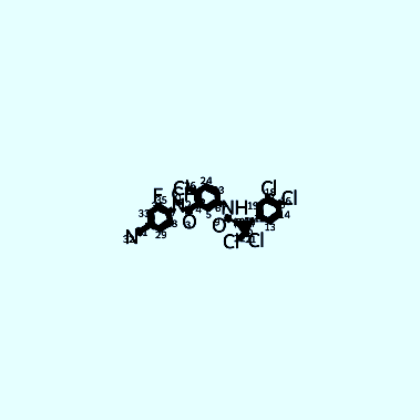 CN(C(=O)c1cc(NC(=O)[C@H]2[C@H](c3ccc(Cl)c(Cl)c3)C2(Cl)Cl)ccc1Cl)c1ccc(C#N)cc1F